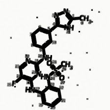 Cc1nnc(-c2cccc(Nc3ncc(F)c(Nc4ccccc4NS(C)(=O)=O)n3)c2)[nH]1